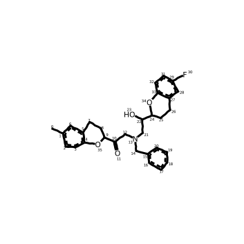 Cc1ccc2c(c1)CCC(C(=O)CN(Cc1ccccc1)CC(O)C1CCc3cc(F)ccc3O1)O2